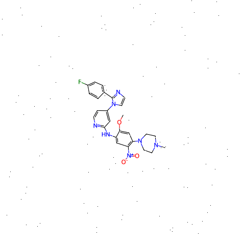 COc1cc(N2CCN(C)CC2)c([N+](=O)[O-])cc1Nc1cc(-n2ccnc2-c2ccc(F)cc2)ccn1